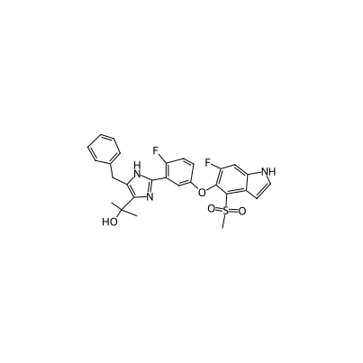 CC(C)(O)c1nc(-c2cc(Oc3c(F)cc4[nH]ccc4c3S(C)(=O)=O)ccc2F)[nH]c1Cc1ccccc1